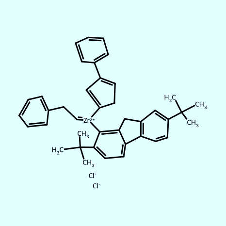 CC(C)(C)c1ccc2c(c1)Cc1c-2ccc(C(C)(C)C)[c]1[Zr+2](=[CH]Cc1ccccc1)[C]1=CC(c2ccccc2)=CC1.[Cl-].[Cl-]